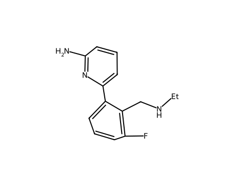 CCNCc1c(F)cccc1-c1cccc(N)n1